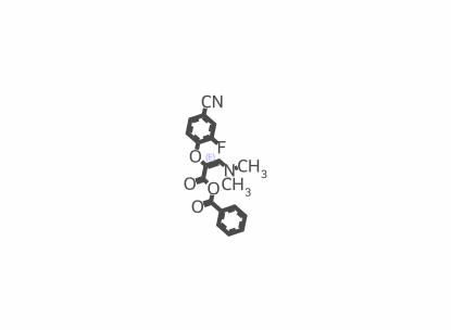 CN(C)/C=C(/Oc1ccc(C#N)cc1F)C(=O)OC(=O)c1ccccc1